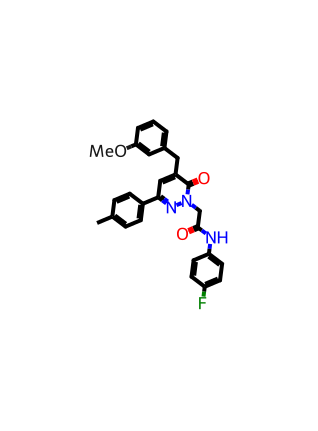 COc1cccc(Cc2cc(-c3ccc(C)cc3)nn(CC(=O)Nc3ccc(F)cc3)c2=O)c1